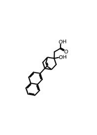 O=C(O)CC1(O)CC2CCC1C=C2c1ccc2ccccc2c1